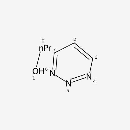 CCCO.c1cnnnc1